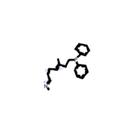 C/N=C/C=C\C=C(/C)CCP(c1ccccc1)c1ccccc1